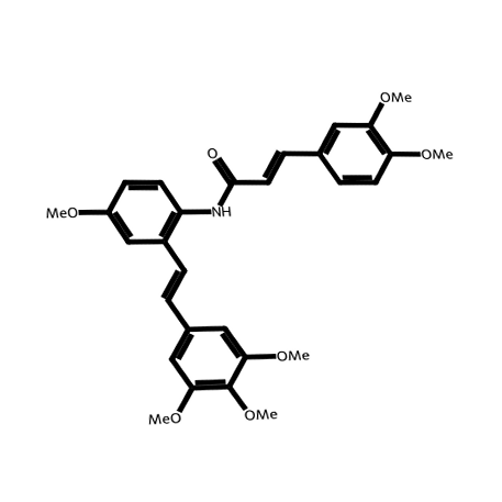 COc1ccc(NC(=O)/C=C/c2ccc(OC)c(OC)c2)c(C=Cc2cc(OC)c(OC)c(OC)c2)c1